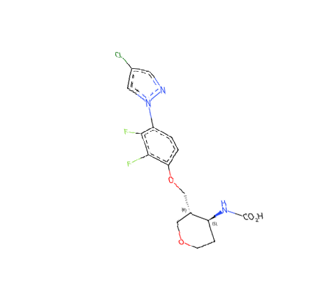 O=C(O)N[C@H]1CCOC[C@@H]1COc1ccc(-n2cc(Cl)cn2)c(F)c1F